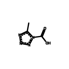 Cc1nnnn1C(=O)O